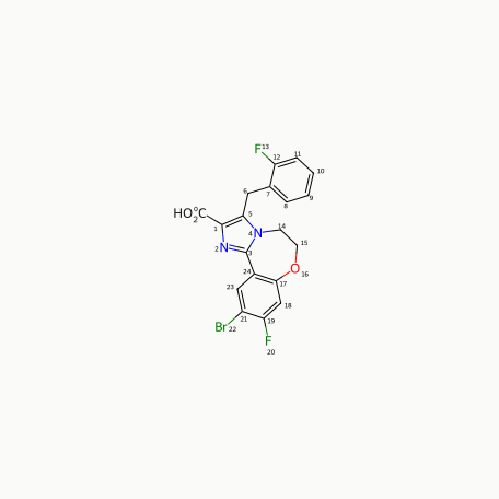 O=C(O)c1nc2n(c1Cc1ccccc1F)CCOc1cc(F)c(Br)cc1-2